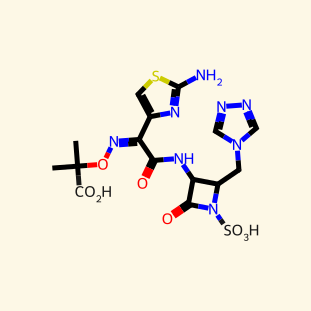 CC(C)(O/N=C(\C(=O)NC1C(=O)N(S(=O)(=O)O)C1Cn1cnnc1)c1csc(N)n1)C(=O)O